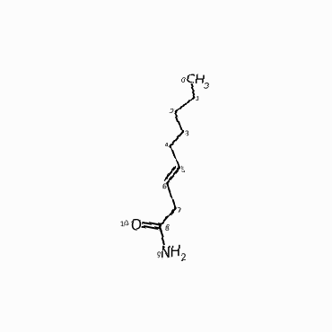 CCCCCC=CCC(N)=O